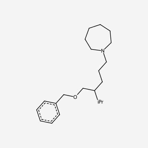 CC(C)C(CCCN1CCCCCC1)COCc1ccccc1